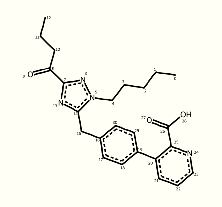 CCCCCn1nc(C(=O)CCC)nc1Cc1ccc(-c2cccnc2C(=O)O)cc1